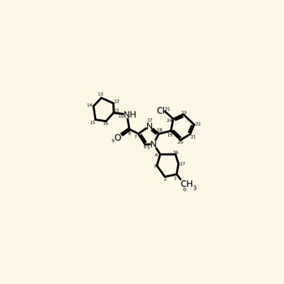 CC1CCC(n2cc(C(=O)NC3CCCCC3)nc2-c2ccccc2Cl)CC1